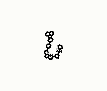 c1cc(-c2ccc3ccc4ccc(-c5ccc(-c6ccc7c(c6)-c6cccc8cccc-7c68)cc5)nc4c3n2)cc(-c2nc3ccccc3s2)c1